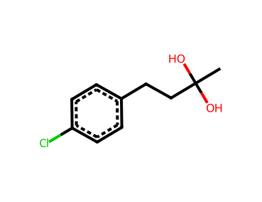 CC(O)(O)CCc1ccc(Cl)cc1